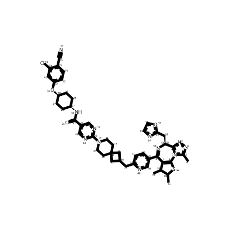 Cc1nnc2n1C1=C(C(c3ccc(CC4CC5(CCN(c6ncc(C(=O)N[C@H]7CC[C@H](Oc8ccc(C#N)c(Cl)c8)CC7)cn6)CC5)C4)nc3)=N[C@H]2Cc2ncco2)C(C)C(C)S1